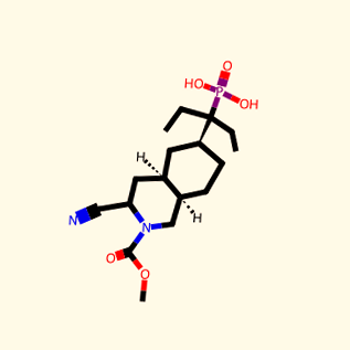 CCC(CC)([C@H]1CC[C@H]2CN(C(=O)OC)C(C#N)C[C@H]2C1)P(=O)(O)O